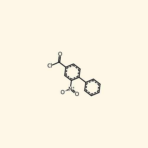 O=C(Cl)c1ccc(-c2ccccc2)c([N+](=O)[O-])c1